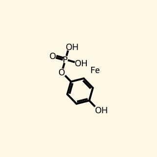 O=P(O)(O)Oc1ccc(O)cc1.[Fe]